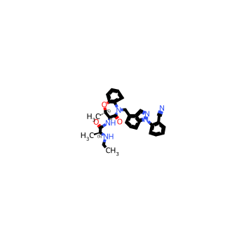 CCN[C@@H](C)C(=O)N[C@@H]1C(=O)N(Cc2cccc3c2cnn3-c2ccccc2C#N)c2ccccc2O[C@H]1C